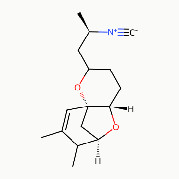 [C-]#[N+][C@H](C)CC1CC[C@@H]2O[C@@H]3C[C@]2(C=C(C)C3C)O1